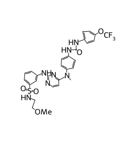 COCCNS(=O)(=O)c1cccc(Nc2nccc(N(C)c3ccc(NC(=O)Nc4ccc(OC(F)(F)F)cc4)cc3)n2)c1